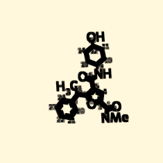 CNC(=O)c1cc(C(=O)N[C@H]2CC[C@H](O)CC2)c([C@@H](C)c2ccccc2)o1